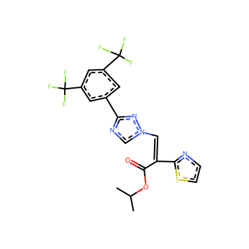 CC(C)OC(=O)/C(=C\n1cnc(-c2cc(C(F)(F)F)cc(C(F)(F)F)c2)n1)c1nccs1